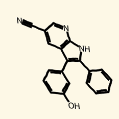 N#Cc1cnc2[nH]c(-c3ccccc3)c(-c3cccc(O)c3)c2c1